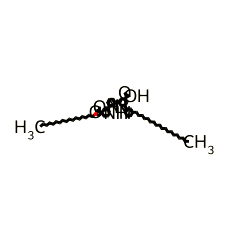 CCCCCCCCCCCCCCCCCCCc1ccnc(-c2cc(C(=O)O)cc(-c3cccc(C4=CC(CCCCCCCCCCCCCCCCCCC)(C(=O)O)C=CN4)n3)n2)c1